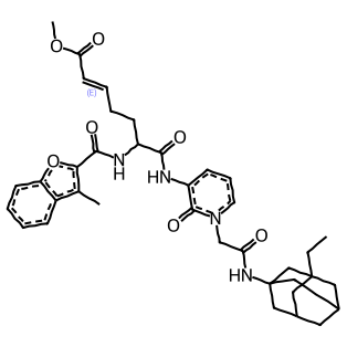 CCC12CC3CC(C1)CC(NC(=O)Cn1cccc(NC(=O)C(CC/C=C/C(=O)OC)NC(=O)c4oc5ccccc5c4C)c1=O)(C3)C2